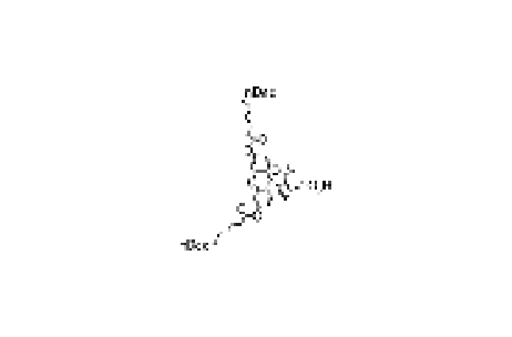 CCCCCCCCCCCCCCCC(=O)Oc1ccc2c(c1)Oc1cc(OC(=O)CCCCCCCCCCCCCCC)ccc1C21OC(=O)c2c(C(=O)O)cccc21